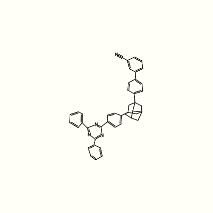 N#Cc1cccc(-c2ccc(C34CC5(c6ccc(-c7nc(-c8ccccc8)nc(-c8ccccc8)n7)cc6)CC6CC(C5)(C3)C64)cc2)c1